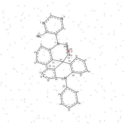 N#Cc1ncncc1N1c2ccccc2C2(c3ccccc3N(c3ccccc3)c3ccccc32)c2ccccc21